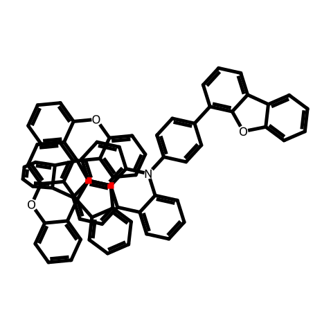 c1ccc2c(c1)Oc1ccccc1C21c2ccccc2-c2ccc(-c3ccccc3N(c3ccc(-c4cccc5c4oc4ccccc45)cc3)c3cccc4c3-c3ccccc3C43c4ccccc4Oc4ccccc43)cc21